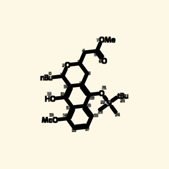 CCCCC1OC(CC(=O)OC)Cc2c1c(O)c1c(OC)cccc1c2O[Si](C)(C)C(C)(C)C